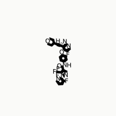 Nc1nccc(Oc2ccc(NC(=O)c3cnn(-c4ncccc4F)c3C(F)(F)F)cc2F)c1C#CC1CCOCC1